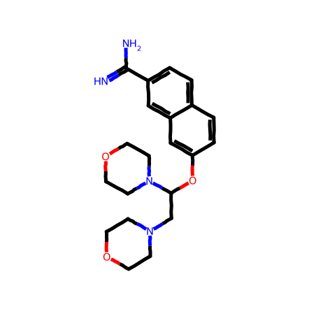 N=C(N)c1ccc2ccc(OC(CN3CCOCC3)N3CCOCC3)cc2c1